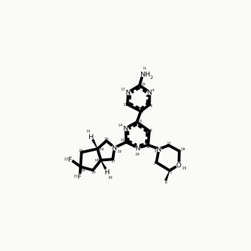 C[C@H]1CN(c2cc(-c3cnc(N)nc3)nc(N3C[C@@H]4CC(F)(F)C[C@@H]4C3)n2)CCO1